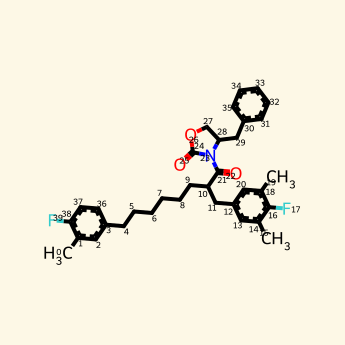 Cc1cc(CCCCCCC(Cc2cc(C)c(F)c(C)c2)C(=O)N2C(=O)OCC2Cc2ccccc2)ccc1F